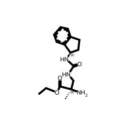 CCOC(=O)[C@](C)(N)CNC(=O)N[C@@H]1CCc2ccccc21